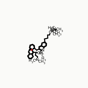 COc1nc2ccc(CCCCO[Si](C)(C)C(C)(C)C)cc2cc1[C@@H](c1ccccc1)C(O)(CCN(C)C)c1cccc2ccccc12